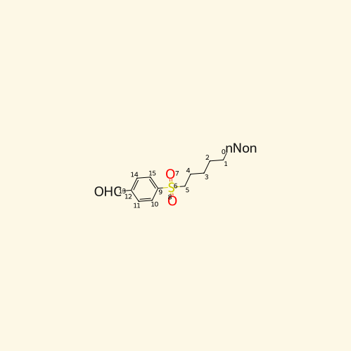 CCCCCCCCCCCCCCS(=O)(=O)c1ccc(C=O)cc1